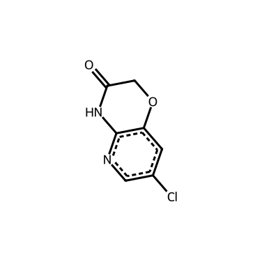 O=C1COc2cc(Cl)cnc2N1